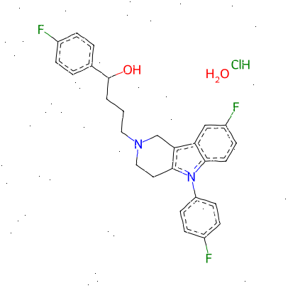 Cl.O.OC(CCCN1CCc2c(c3cc(F)ccc3n2-c2ccc(F)cc2)C1)c1ccc(F)cc1